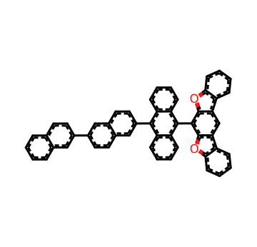 c1ccc2cc(-c3ccc4cc(-c5c6ccccc6c(-c6c7oc8ccccc8c7cc7c6oc6ccccc67)c6ccccc56)ccc4c3)ccc2c1